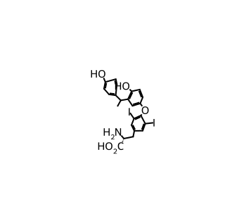 CC(c1ccc(O)cc1)c1cc(Oc2c(I)cc(C[C@@H](N)C(=O)O)cc2I)ccc1O